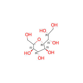 OC[C]1O[C@H]([C@@H](O)[C@H](O)CO)[C@@H](O)[C@H](O)[C@H]1O